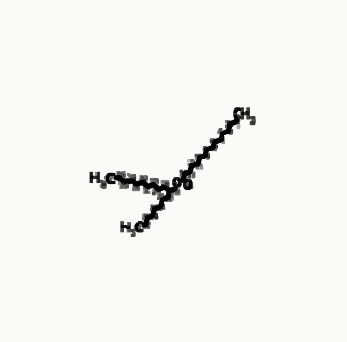 CCCCCCCCCCCCCCCC(=O)OCC(CCCCCCCC)CCCCCCCCCC